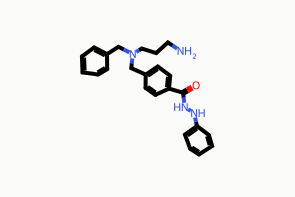 NCCCN(Cc1ccccc1)Cc1ccc(C(=O)NNc2ccccc2)cc1